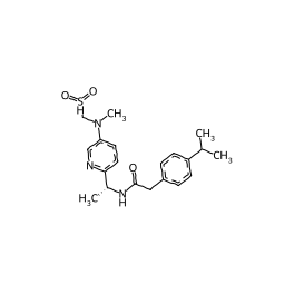 CC(C)c1ccc(CC(=O)N[C@H](C)c2ccc(N(C)C[SH](=O)=O)cn2)cc1